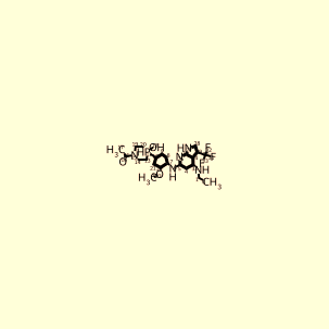 CCNc1cc(Nc2ccc([PH]3(O)CCN(C(C)=O)CC3)cc2OC)nc2[nH]cc(C(F)(F)F)c12